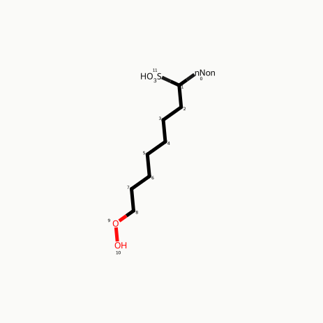 CCCCCCCCCC(CCCCCCCOO)S(=O)(=O)O